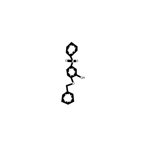 O=S(=O)(c1ccccc1)c1ccc(OCc2ccccc2)c(O)c1